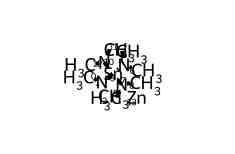 C[N](C)[Sn]([N](C)C)([N](C)C)[N](C)C.[Zn]